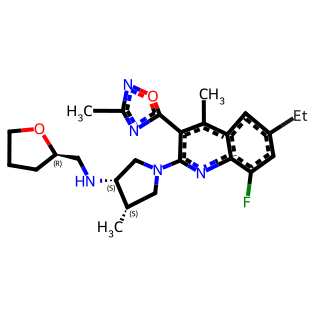 CCc1cc(F)c2nc(N3C[C@H](C)[C@H](NC[C@H]4CCCO4)C3)c(-c3nc(C)no3)c(C)c2c1